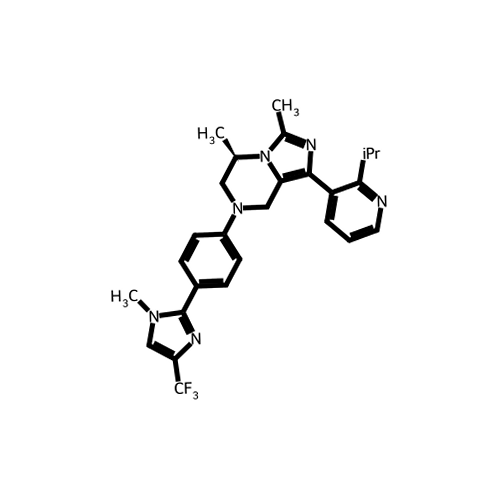 Cc1nc(-c2cccnc2C(C)C)c2n1[C@H](C)CN(c1ccc(-c3nc(C(F)(F)F)cn3C)cc1)C2